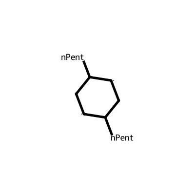 CCCCCC1[CH]CC(CCCCC)[CH]C1